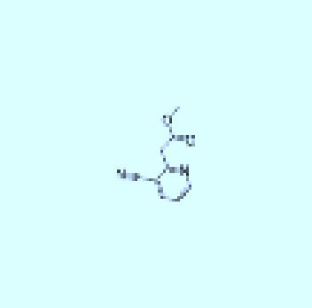 COC(=O)Cc1ncccc1C#N